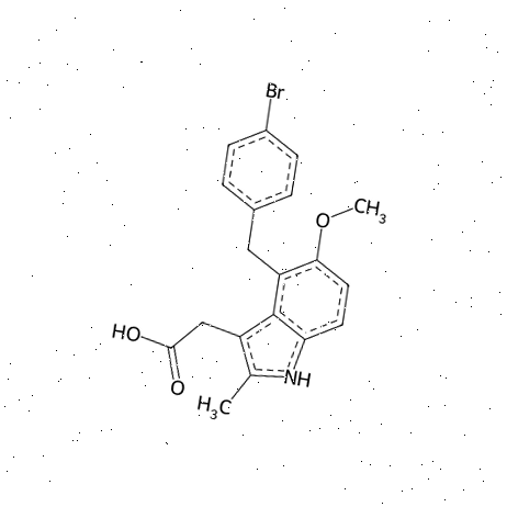 COc1ccc2[nH]c(C)c(CC(=O)O)c2c1Cc1ccc(Br)cc1